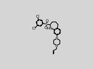 C=CCN1CCN(c2ccc3c(c2)NC(S(=O)(=O)c2cc(Cl)cc(Cl)c2)CCC3)CC1